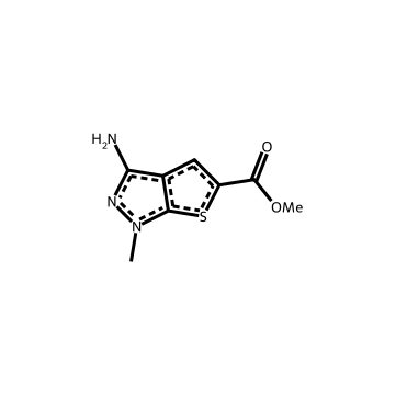 COC(=O)c1cc2c(N)nn(C)c2s1